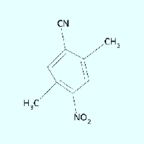 Cc1cc([N+](=O)[O-])c(C)cc1C#N